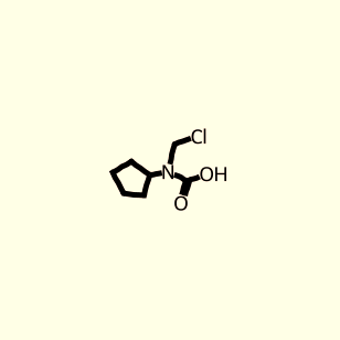 O=C(O)N(CCl)C1CCCC1